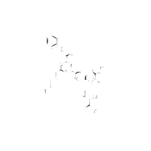 CCCCCCC(=O)NC(CNC(=O)N[C@@H](CCCC(N)C(=O)OC)C(=O)N[C@H](C)C(=O)OC)C(=O)OCc1ccccc1